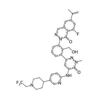 C=C(C)c1cc(F)c2c(=O)n(-c3cccc(-c4cc(Nc5ccc(C6CCN(CC(F)(F)F)CC6)cn5)c(=O)n(C)n4)c3CO)ncc2c1